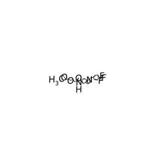 COCCOCCC(=O)Nc1ccc2c(ccn2Cc2ccc(C(F)(F)F)cc2)c1